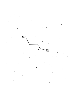 CCCC[CH2][Mo]